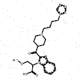 COCC(C(=O)O)n1c(C(=O)C2CCN(CCCCn3cnnn3)CC2)nc2ccccc21